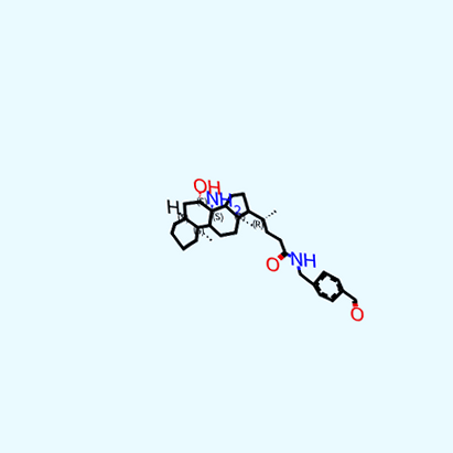 C[C@H](CCC(=O)NCc1ccc(C=O)cc1)C1CCC2[C@]1(C)CCC1[C@@]2(N)[C@@H](O)C[C@@H]2CCCC[C@]12C